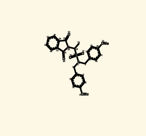 COc1ccc(CN(Cc2ccc(OC)cc2)S(=O)(=O)C(C)N2C(=O)c3ccccc3C2=O)cc1